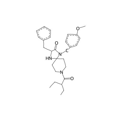 CCC(CC)C(=O)N1CCC2(CC1)NC(Cc1ccccc1)C(=O)N2Cc1ccc(OC)cc1